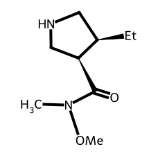 CC[C@@H]1CNC[C@@H]1C(=O)N(C)OC